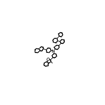 Cc1c(-c2cccc(N(c3ccc(-c4ccc5ccccc5c4)cc3)c3ccc(-c4ccccc4-c4ccccc4-c4ccccc4)cc3)c2)oc2ccccc12